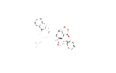 COc1c(C)cc2c(c1O)[C@@H]1[C@@H]3[C@@H]4SC[C@]5(N[C@@H](CNC(C)C)Cc6c5[nH]c5ccccc65)C(=O)OCC[C@@H](c5c6c(c(C)c(OC(C)=O)c54)OCO6)N3C(O)(C2)CN1C